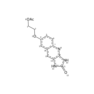 CC(=O)OCCOc1ccc2nc3[nH]c(=O)[nH]c3cc2c1